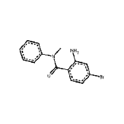 CN(C(=O)c1ccc(Br)cc1N)c1ccccc1